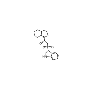 O=C(CS(=O)(=O)c1c[nH]c2ccccc12)N1CCCC2CCCCC21